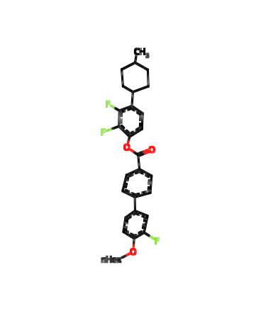 CCCCCCOc1ccc(-c2ccc(C(=O)Oc3ccc(C4CCC(C)CC4)c(F)c3F)cc2)cc1F